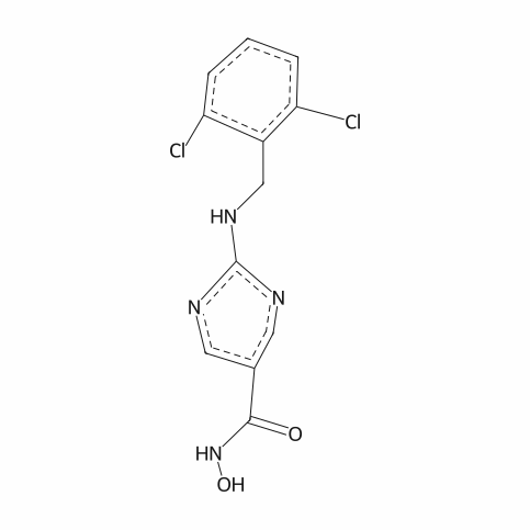 O=C(NO)c1cnc(NCc2c(Cl)cccc2Cl)nc1